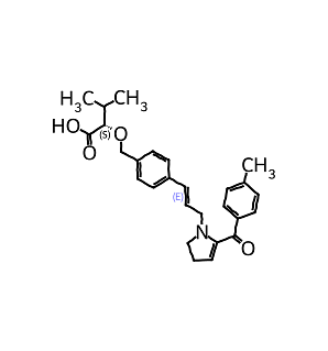 Cc1ccc(C(=O)C2=CCCN2C/C=C/c2ccc(CO[C@H](C(=O)O)C(C)C)cc2)cc1